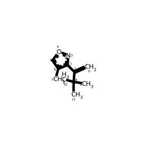 C=C(c1nocc1C)C(C)(C)C